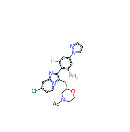 CC(=O)N1CCO[C@@H](Cc2c(-c3c(F)cc(-n4cccn4)cc3P)nc3cc(Cl)ccn23)C1